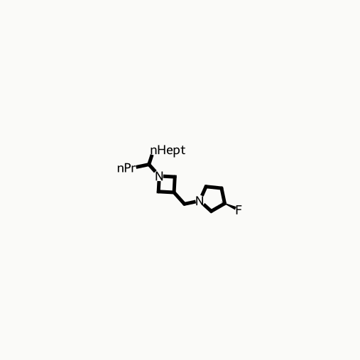 CCCCCCCC(CCC)N1CC(CN2CC[C@@H](F)C2)C1